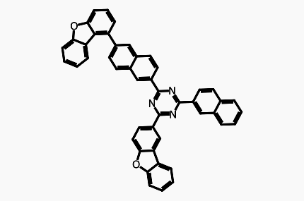 c1ccc2cc(-c3nc(-c4ccc5cc(-c6cccc7oc8ccccc8c67)ccc5c4)nc(-c4ccc5oc6ccccc6c5c4)n3)ccc2c1